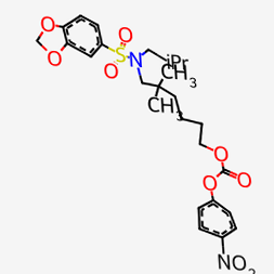 CC(C)CN(CC(C)(C)CCCCOC(=O)Oc1ccc([N+](=O)[O-])cc1)S(=O)(=O)c1ccc2c(c1)OCO2